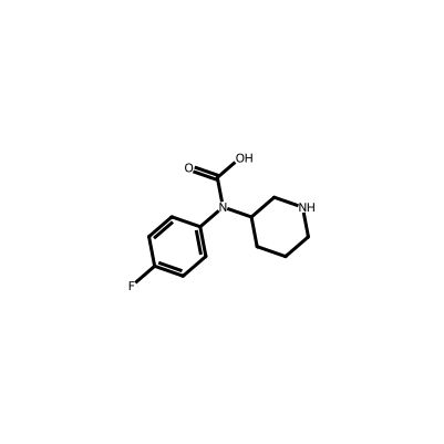 O=C(O)N(c1ccc(F)cc1)C1CCCNC1